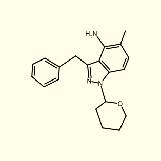 Cc1ccc2c(c(Cc3ccccc3)nn2C2CCCCO2)c1N